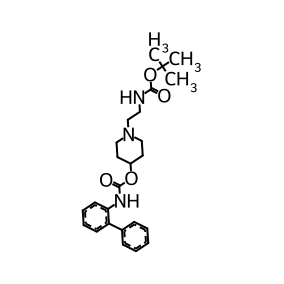 CC(C)(C)OC(=O)NCCN1CCC(OC(=O)Nc2ccccc2-c2ccccc2)CC1